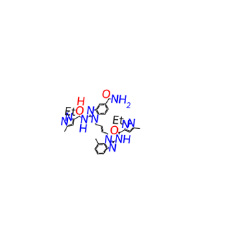 CCn1nc(C)cc1C(=O)Nc1nc2cccc(C)c2n1C/C=C/Cn1c(NC(O)c2cc(C)nn2CC)nc2cc(C(N)=O)ccc21